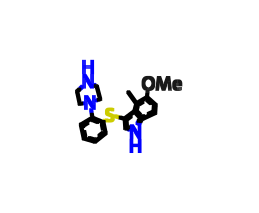 COc1ccc2[nH]cc(Sc3ccccc3N3CCNCC3)c2c1C